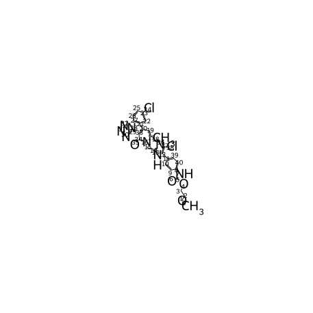 COCCOC(=O)Nc1ccc(-c2[nH]c(Cn3c(C)cc(-c4cc(Cl)ccc4-n4cnnn4)cc3=O)nc2Cl)cc1